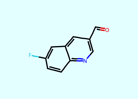 O=Cc1cnc2ccc(F)cc2c1